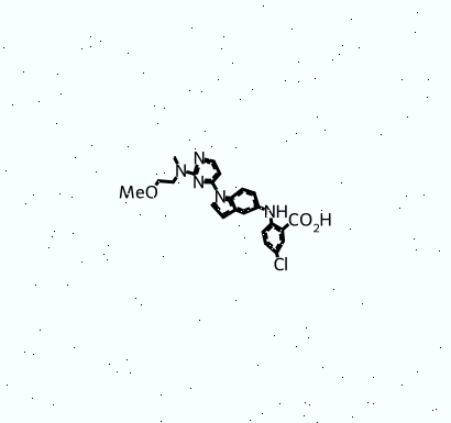 COCCN(C)c1nccc(-n2ccc3cc(Nc4ccc(Cl)cc4C(=O)O)ccc32)n1